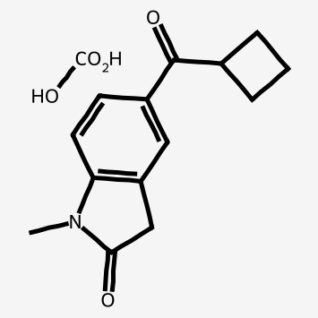 CN1C(=O)Cc2cc(C(=O)C3CCC3)ccc21.O=C(O)O